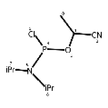 CC(C#N)OP(Cl)N(C(C)C)C(C)C